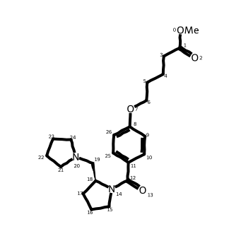 COC(=O)CCCCOc1ccc(C(=O)N2CCC[C@H]2CN2CCCC2)cc1